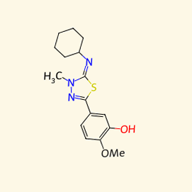 COc1ccc(-c2nn(C)/c(=N\C3CCCCC3)s2)cc1O